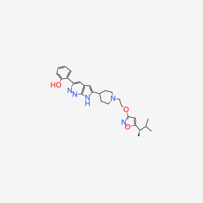 CC(C)[C@@H](C)c1cc(OCCN2CCC(c3cc4cc(-c5ccccc5O)nnc4[nH]3)CC2)no1